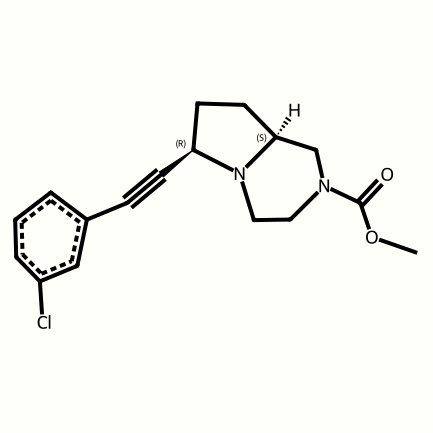 COC(=O)N1CCN2[C@@H](CC[C@@H]2C#Cc2cccc(Cl)c2)C1